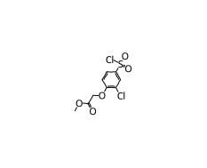 COC(=O)COc1ccc(S(=O)(=O)Cl)cc1Cl